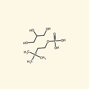 C[N+](C)(C)CCOP(=O)(O)O.OCC(O)CO